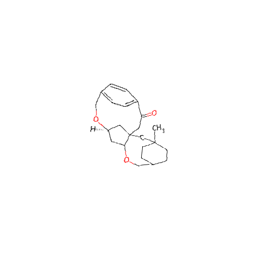 CC12CCC(CC1)COC1C[C@@H]3CC1(CC(=O)c1ccc(cc1)CO3)C2